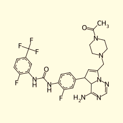 CC(=O)N1CCN(CC2=CC(c3ccc(NC(=O)Nc4cc(C(F)(F)F)ccc4F)c(F)c3)C3C(N)=NC=NN23)CC1